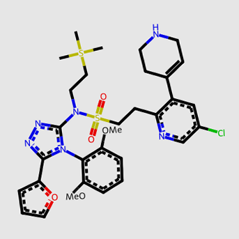 COc1cccc(OC)c1-n1c(-c2ccco2)nnc1N(CCS(C)(C)C)S(=O)(=O)CCc1ncc(Cl)cc1C1=CCNCC1